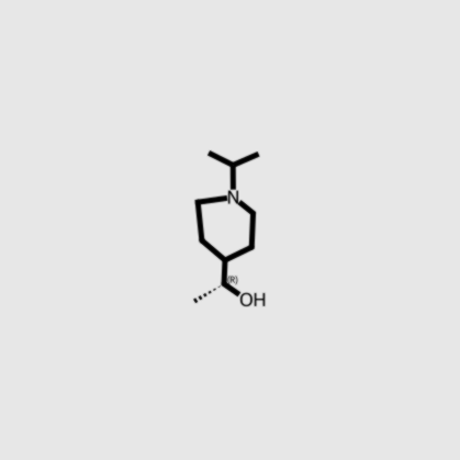 CC(C)N1CCC([C@@H](C)O)CC1